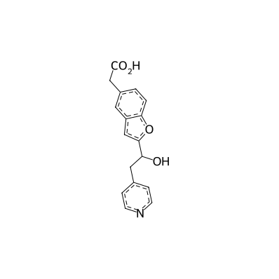 O=C(O)Cc1ccc2oc(C(O)Cc3ccncc3)cc2c1